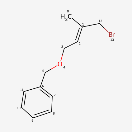 C/C(=C\COCc1ccccc1)CBr